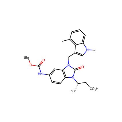 CCC[C@@H](CC(=O)O)n1c(=O)n(Cc2cn(C)c3cccc(C)c23)c2cc(NC(=O)OC(C)(C)C)ccc21